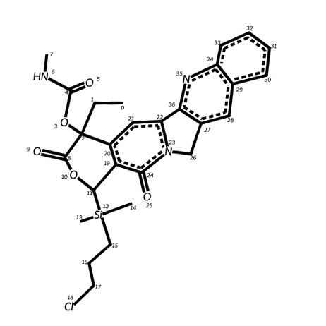 CCC1(OC(=O)NC)C(=O)OC([Si](C)(C)CCCCl)c2c1cc1n(c2=O)Cc2cc3ccccc3nc2-1